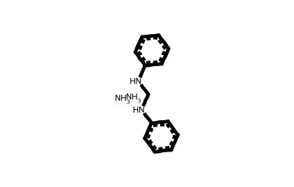 N.N.c1ccc(NCNc2ccccc2)cc1